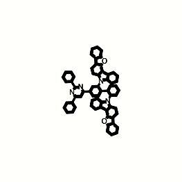 c1ccc(-c2cc(-c3ccc(-c4ccccc4-n4c5ccccc5c5c6oc7ccccc7c6ccc54)c(-n4c5ccccc5c5c6oc7ccccc7c6ccc54)c3)nc(-c3ccccc3)n2)cc1